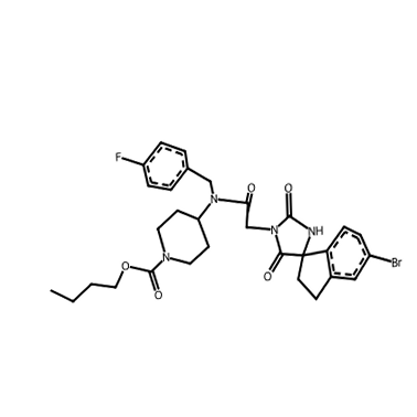 CCCCOC(=O)N1CCC(N(Cc2ccc(F)cc2)C(=O)CN2C(=O)NC3(CCc4cc(Br)ccc43)C2=O)CC1